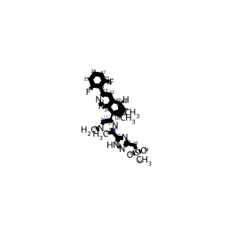 C=N/C=C(\N=C(/C)c1nc(CS(C)(=O)=O)n[nH]1)[C@@]12CC[C@@H](c3cc(-c4c(F)cccc4F)nnc31)C2(C)C